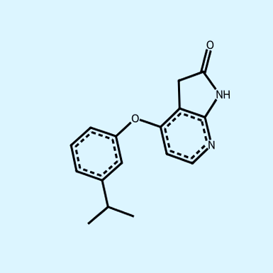 CC(C)c1cccc(Oc2ccnc3c2CC(=O)N3)c1